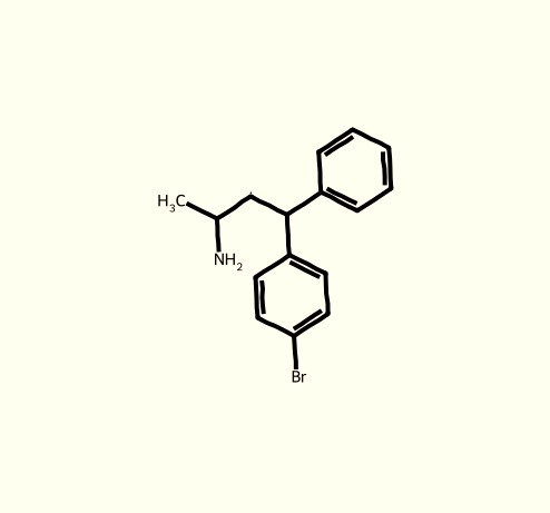 CC(N)[CH]C(c1ccccc1)c1ccc(Br)cc1